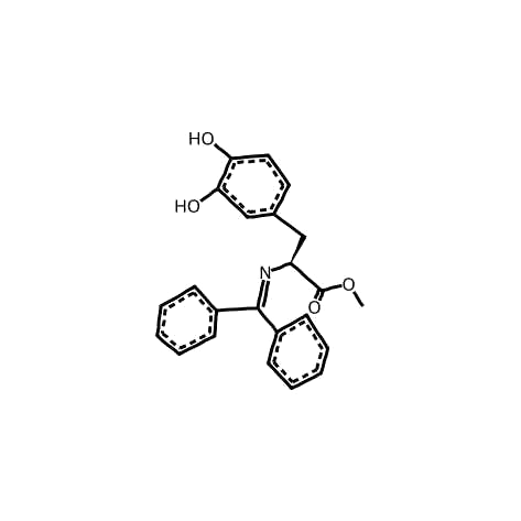 COC(=O)[C@H](Cc1ccc(O)c(O)c1)N=C(c1ccccc1)c1ccccc1